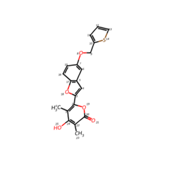 Cc1c(-c2cc3cc(OCc4cccs4)ccc3o2)oc(=O)c(C)c1O